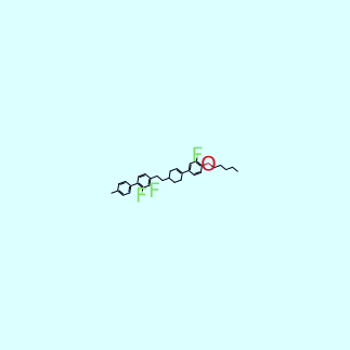 CCCCCOc1ccc(C2=CCC(CCc3ccc(-c4ccc(C)cc4)c(F)c3F)CC2)cc1F